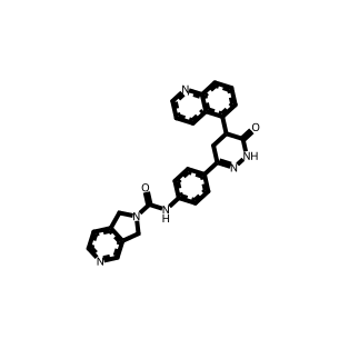 O=C1NN=C(c2ccc(NC(=O)N3Cc4ccncc4C3)cc2)CC1c1cccc2ncccc12